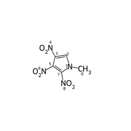 Cn1cc([N+](=O)[O-])c([N+](=O)[O-])c1[N+](=O)[O-]